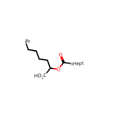 CCCCCCCC(=O)OC(CCCCC(C)C)C(=O)O